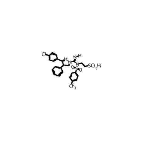 [H]/N=C(/N1CC(c2ccccc2)C(c2ccc(Cl)cc2)=N1)N(CCS(=O)(=O)O)S(=O)(=O)c1ccc(C(F)(F)F)cc1